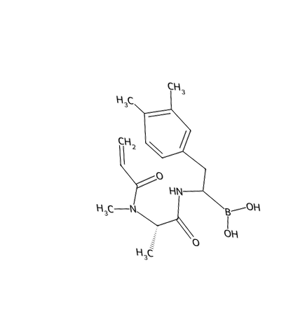 C=CC(=O)N(C)[C@@H](C)C(=O)NC(Cc1ccc(C)c(C)c1)B(O)O